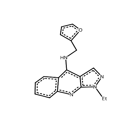 CCn1ncc2c(NCc3ccco3)c3ccccc3nc21